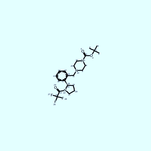 CC(C)(C)OC(=O)N1CCN(Cc2ccccc2[C@H]2CCCN2C(=O)C(F)(F)F)CC1